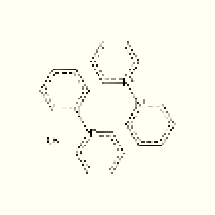 [Os].c1cc[n+](-[n+]2ccccc2)cc1.c1cc[n+](-[n+]2ccccc2)cc1